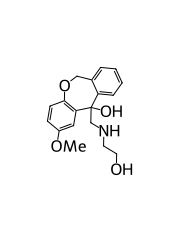 COc1ccc2c(c1)C(O)(CNCCO)c1ccccc1CO2